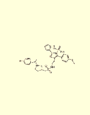 COc1ccc(-c2c(CCNS(=O)(=O)CC3CCN(C(C)c4ccc(F)cc4)C3)nc(-c3cccs3)n2P(=O)(O)O)cc1